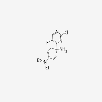 CCN(CC)C1=CCC(N)(c2nc(Cl)ncc2F)C=C1